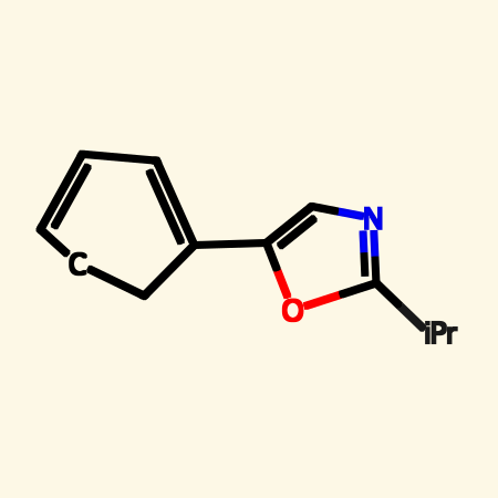 CC(C)c1ncc(C2=CC=CCC2)o1